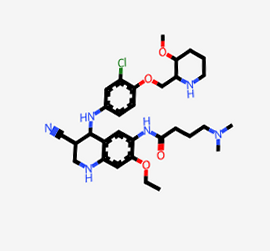 CCOc1cc2c(cc1NC(=O)CCCN(C)C)C(Nc1ccc(OCC3NCCCC3OC)c(Cl)c1)C(C#N)CN2